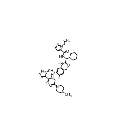 CCn1nccc1C(=O)N[C@H](C(=O)Nc1ccc(C[C@@H](NC(=O)c2cnnn2C)C(=O)N2CCN(C)CC2)cc1F)C1CCCCC1